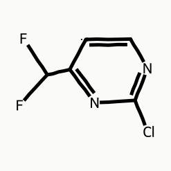 FC(F)c1[c]cnc(Cl)n1